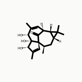 CC1=C[C@@H]2C(=O)[C@]3(C=C(C)[C@H](O)[C@@]3(O)[C@@H]1O)[C@H](C)C[C@@H]1[C@H]2C1(C)C